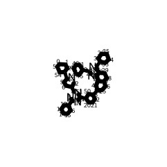 c1ccc(-c2ccc(-c3nc(-c4ccccc4)nc(-c4cccc(-c5ccc6ccc7c(-c8ccccc8)nc(-c8ccccc8)nc7c6c5)c4)n3)cn2)cc1